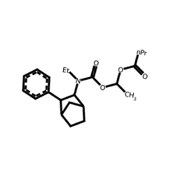 CCCC(=O)OC(C)OC(=O)N(CC)C1C2CCC(C2)C1c1ccccc1